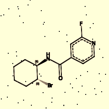 O=C(N[C@@H]1CCCC[C@H]1Br)c1ccnc(F)c1